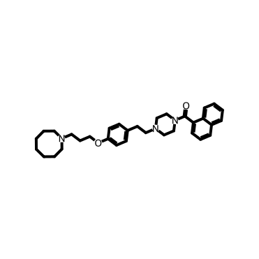 O=C(c1cccc2ccccc12)N1CCN(CCc2ccc(OCCCN3CCCCCCC3)cc2)CC1